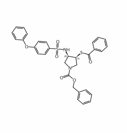 O=C(S[C@H]1CN(C(=O)OCc2ccccc2)C[C@H]1NS(=O)(=O)c1ccc(Oc2ccccc2)cc1)c1ccccc1